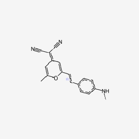 CNc1ccc(/C=C/C2=CC(=C(C#N)C#N)C=C(C)O2)cc1